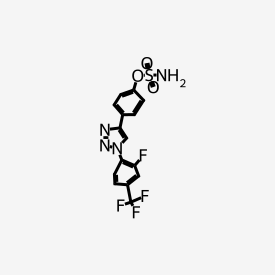 NS(=O)(=O)Oc1ccc(-c2cn(-c3ccc(C(F)(F)F)cc3F)nn2)cc1